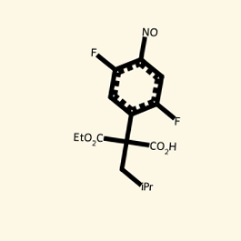 CCOC(=O)C(CC(C)C)(C(=O)O)c1cc(F)c(N=O)cc1F